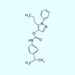 CCCc1c(OC(=O)Nc2ccc(C(C)C)cc2)cnn1-c1ccccc1